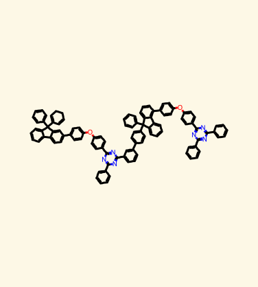 C1=CC(C2(c3ccccc3)c3ccccc3-c3ccc(-c4ccc(Oc5ccc(-c6nc(-c7ccccc7)nc(-c7cccc(-c8ccc(C9(c%10ccccc%10)c%10ccccc%10-c%10c(-c%11ccc(Oc%12ccc(-c%13nc(-c%14ccccc%14)nc(-c%14ccccc%14)n%13)cc%12)cc%11)cccc%109)cc8)c7)n6)cc5)cc4)cc32)=CCC1